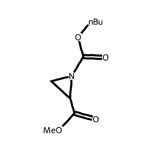 CCCCOC(=O)N1CC1C(=O)OC